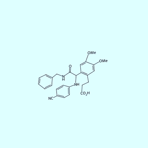 COc1cc(CCC(=O)O)c(C(Nc2ccc(C#N)cc2)C(=O)NCc2ccccc2)cc1OC